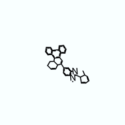 CC1C=CC=CC1c1nc2cc(C3=Cc4c(c5ccccc5c5ccccc45)C4CCC=CC34)ccc2n1C